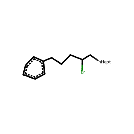 CCCCCCCCC(Br)CCCc1ccccc1